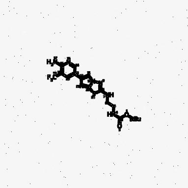 CC(C)(C)OC(=O)NCCNc1nn2cc(-c3cnc(N)c(C(F)(F)F)c3)nc2s1